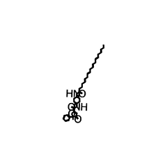 CCC=CCC=CCC=CCC=CCC=CCCCC(=O)NC1CCC(NC(=O)C2=CC(=O)C(C)(c3ccccc3)O2)CC1